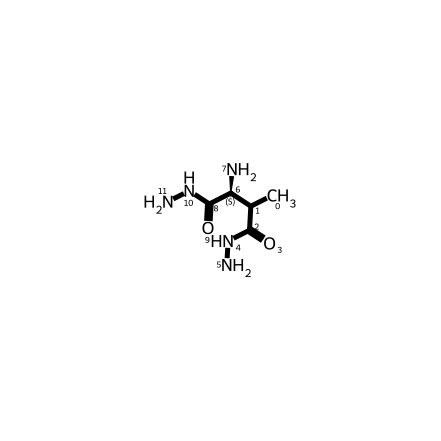 CC(C(=O)NN)[C@H](N)C(=O)NN